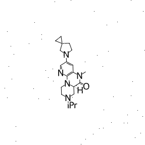 CC(C)N1CCN2c3ncc(N4CCC5(CC5)C4)cc3N(C)C(=O)[C@H]2C1